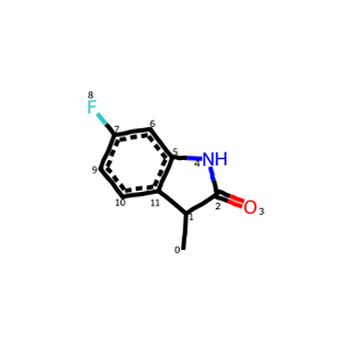 CC1C(=O)Nc2cc(F)ccc21